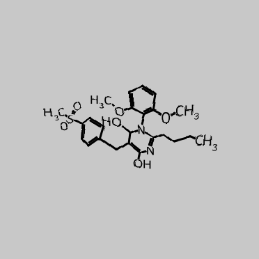 CCCCC1=NC(O)=C(Cc2ccc(S(C)(=O)=O)cc2)C(O)N1c1c(OC)cccc1OC